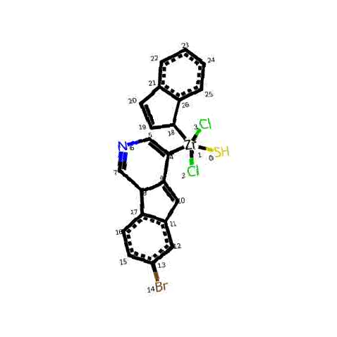 [SH][Zr]([Cl])([Cl])([C]1=CN=CC2C1=Cc1cc(Br)ccc12)[CH]1C=Cc2ccccc21